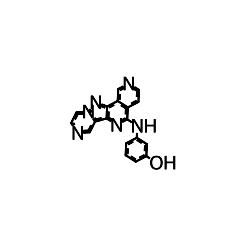 Oc1cccc(Nc2nc3c(nn4ccncc34)c3cnccc23)c1